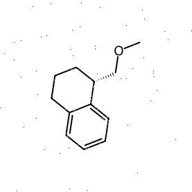 COC[C@H]1CCCc2ccccc21